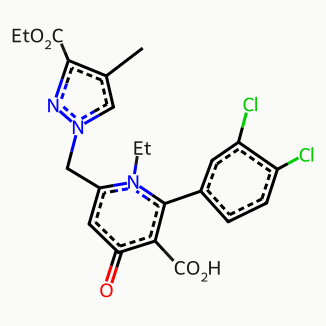 CCOC(=O)c1nn(Cc2cc(=O)c(C(=O)O)c(-c3ccc(Cl)c(Cl)c3)n2CC)cc1C